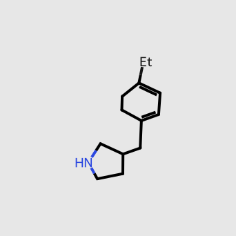 CCC1=CC=C(CC2CCNC2)CC1